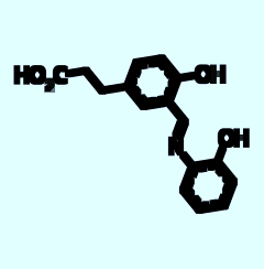 O=C(O)CCc1ccc(O)c(C=Nc2ccccc2O)c1